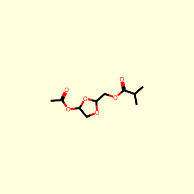 CC(=O)OC1COC(COC(=O)C(C)C)O1